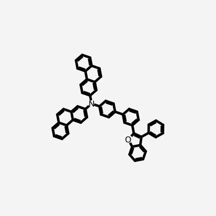 c1ccc(-c2c(-c3cccc(-c4ccc(N(c5ccc6c(ccc7ccccc76)c5)c5ccc6c(ccc7ccccc76)c5)cc4)c3)oc3ccccc23)cc1